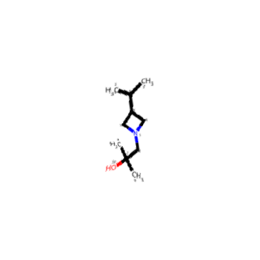 CC(C)C1CN(CC(C)(C)O)C1